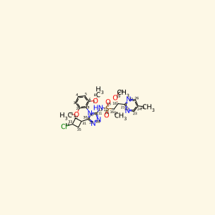 COc1cccc(OC)c1-n1c(NS(=O)(=O)[C@@H](C)[C@H](OC)c2ncc(C)cn2)nnc1C1CC(Cl)C1